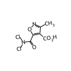 Cc1noc(C(=O)N(Cl)Cl)c1C(=O)O